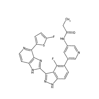 CCC(=O)Nc1cncc(-c2ccc3[nH]nc(-c4nc5c(-c6ccc(F)s6)nccc5[nH]4)c3c2F)c1